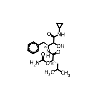 CC(C)C[C@H](OC(N)=O)C(=O)N[C@@H](Cc1ccccc1)C(O)C(=O)NC1CC1